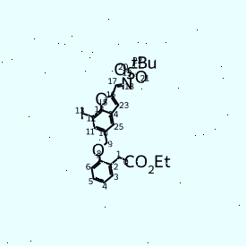 CCOC(=O)Cc1ccccc1OCc1cc(I)c2oc(C=NS(=O)(=O)C(C)(C)C)cc2c1